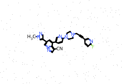 Cn1cc(-c2cc(-c3ccc(N4CCN(CC#Cc5ccc(F)nc5)CC4)nc3)c3c(C#N)cnn3c2)cn1